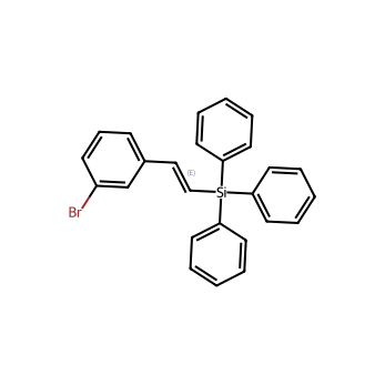 Brc1cccc(/C=C/[Si](c2ccccc2)(c2ccccc2)c2ccccc2)c1